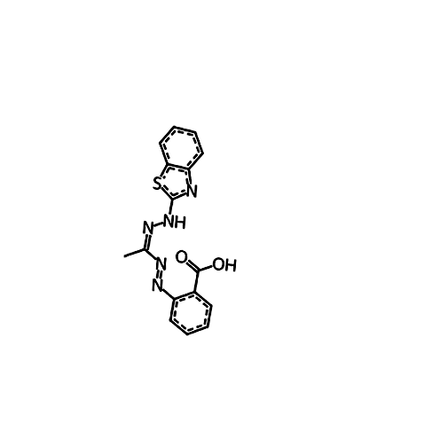 CC(=N/Nc1nc2ccccc2s1)/N=N/c1ccccc1C(=O)O